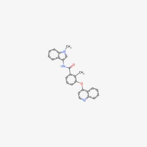 Cc1c(Oc2ccnc3ccccc23)cccc1C(=O)Nc1cn(C)c2ccccc12